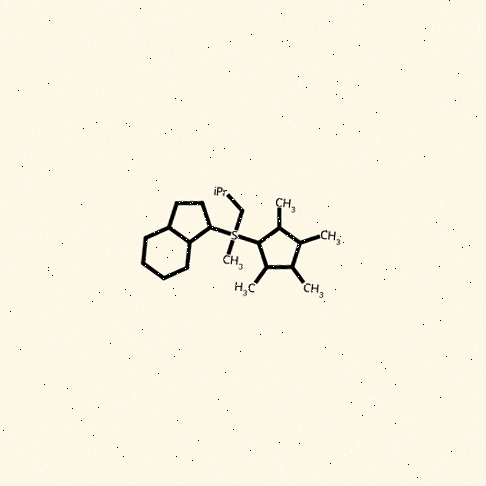 CC(C)CS(C)(C1CCC2CCCCC21)C1C(C)C(C)C(C)C1C